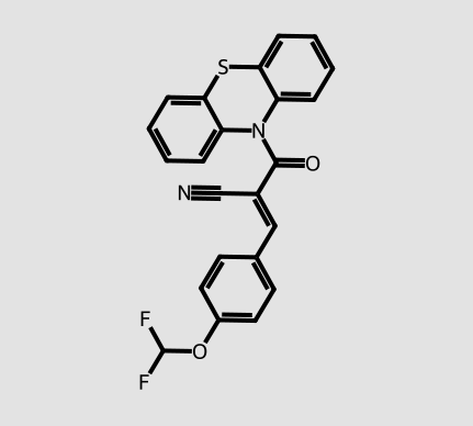 N#CC(=Cc1ccc(OC(F)F)cc1)C(=O)N1c2ccccc2Sc2ccccc21